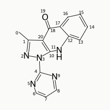 Cc1nn(-c2ncccn2)c2[nH]c3ccccc3c(=O)c12